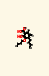 CCCCOc1c(O)c(C(=O)O)c(C)c(C)c1CCCC